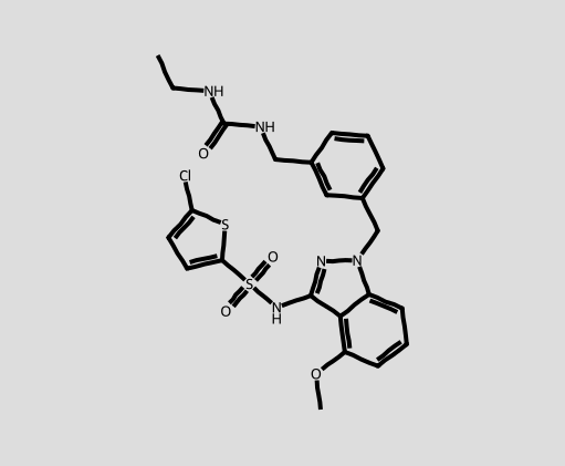 CCNC(=O)NCc1cccc(Cn2nc(NS(=O)(=O)c3ccc(Cl)s3)c3c(OC)cccc32)c1